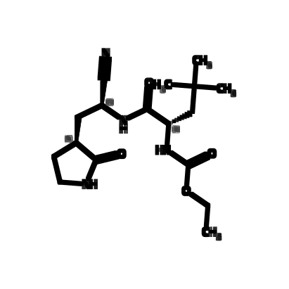 CCOC(=O)N[C@@H](CC(C)(C)C)C(=O)N[C@H](C#N)C[C@@H]1CCNC1=O